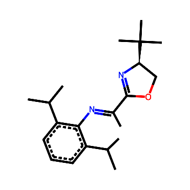 C/C(=N\c1c(C(C)C)cccc1C(C)C)C1=N[C@@H](C(C)(C)C)CO1